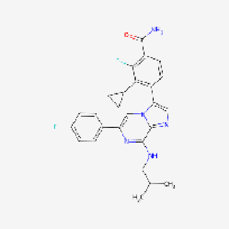 CC(C)CNc1nc(-c2ccc(F)cc2)cn2c(-c3ccc(C(N)=O)c(F)c3C3CC3)cnc12